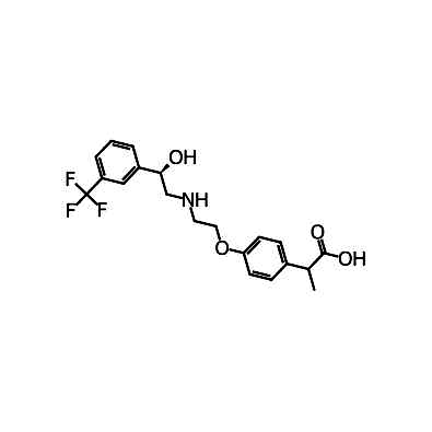 CC(C(=O)O)c1ccc(OCCNC[C@H](O)c2cccc(C(F)(F)F)c2)cc1